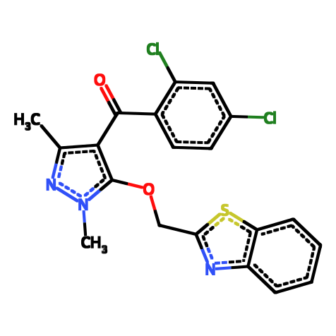 Cc1nn(C)c(OCc2nc3ccccc3s2)c1C(=O)c1ccc(Cl)cc1Cl